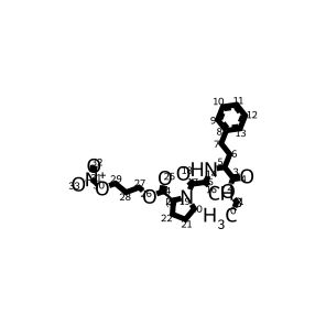 CCOC(=O)C(CCc1ccccc1)NC(C)C(=O)N1CCC[C@H]1C(=O)OCCCO[N+](=O)[O-]